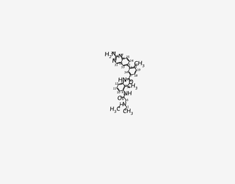 CCN(CC)CC(=O)Nc1cccc(NC(=O)c2ccc(C)c(-c3ccc4nc(N)ncc4c3)c2)c1C